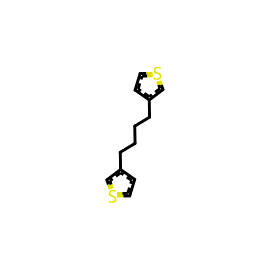 c1cc(CCCCc2ccsc2)cs1